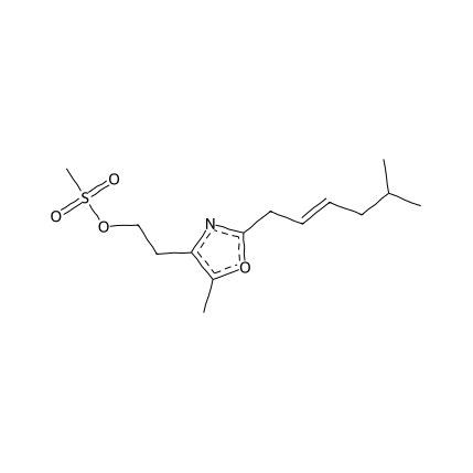 Cc1oc(CC=CCC(C)C)nc1CCOS(C)(=O)=O